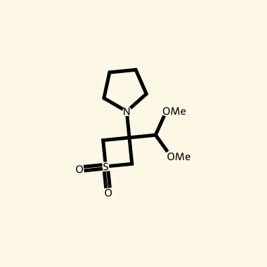 COC(OC)C1(N2CCCC2)CS(=O)(=O)C1